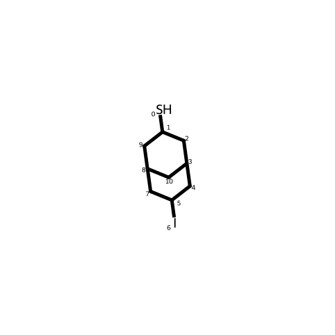 SC1CC2CC(I)CC(C1)C2